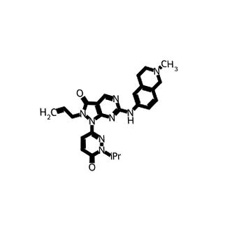 C=CCn1c(=O)c2cnc(Nc3ccc4c(c3)CCN(C)C4)nc2n1-c1ccc(=O)n(C(C)C)n1